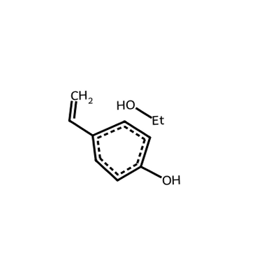 C=Cc1ccc(O)cc1.CCO